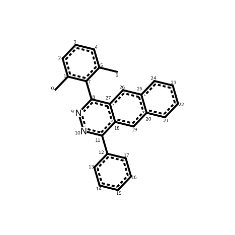 Cc1cccc(C)c1-c1nnc(-c2ccccc2)c2cc3ccccc3cc12